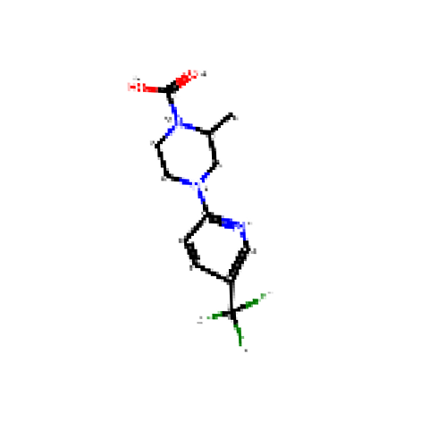 CC1CN(c2ccc(C(F)(F)F)cn2)CCN1C(=O)O